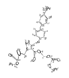 CC(C)OC(=O)OCOC(=O)c1c(Oc2ccc(-c3ccc(C(C)C)cc3)cc2)nnn1COC(=O)OC(C)C